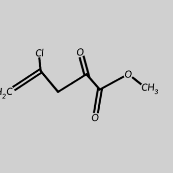 C=C(Cl)CC(=O)C(=O)OC